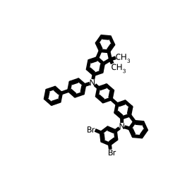 CC1(C)c2ccccc2-c2ccc(N(c3ccc(-c4ccccc4)cc3)c3ccc(-c4ccc5c6ccccc6n(-c6cc(Br)cc(Br)c6)c5c4)cc3)cc21